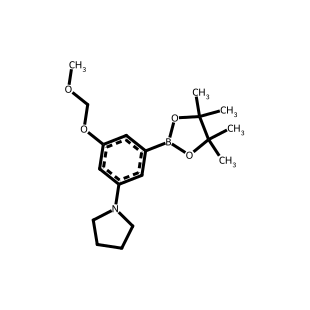 COCOc1cc(B2OC(C)(C)C(C)(C)O2)cc(N2CCCC2)c1